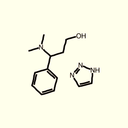 CN(C)C(CCO)c1ccccc1.c1c[nH]nn1